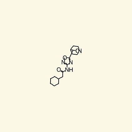 O=C(CC1CCCCC1)Nc1noc(C2CN3CCC2CC3)n1